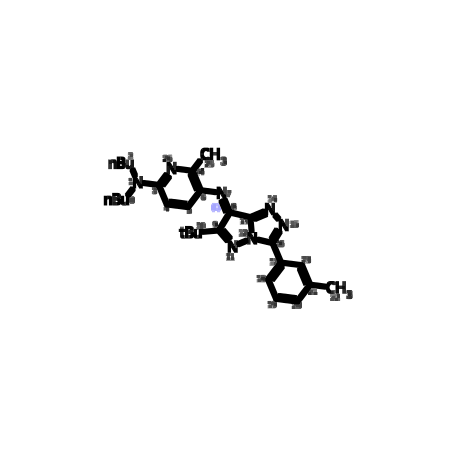 CCCCN(CCCC)c1ccc(/N=C2\C(C(C)(C)C)=Nn3c2nnc3-c2cccc(C)c2)c(C)n1